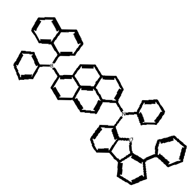 c1ccc(B(c2cccc3ccccc23)c2ccc3ccc4c(N(c5ccccc5)c5cccc6c5oc5c(-c7ccccc7)cccc56)ccc5ccc2c3c54)cc1